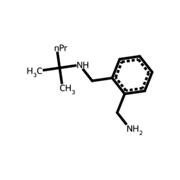 CCCC(C)(C)NCc1ccccc1CN